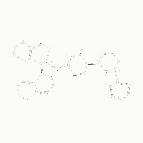 c1ccc2c(c1)ccc1c2c2c3ccccc3ccc2n1-c1ccc(-c2cccc3c2sc2ccccc23)cc1